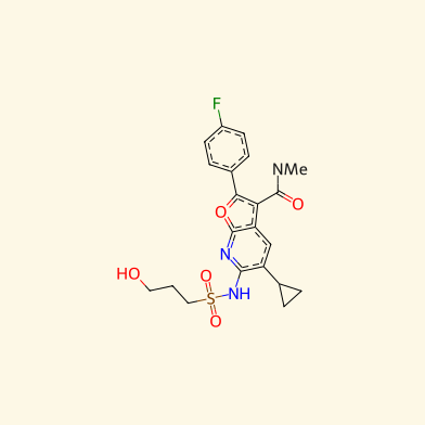 CNC(=O)c1c(-c2ccc(F)cc2)oc2nc(NS(=O)(=O)CCCO)c(C3CC3)cc12